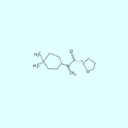 C=[N+](C(=O)[C@@H]1CCCO1)C1CCC(C)(C)CC1